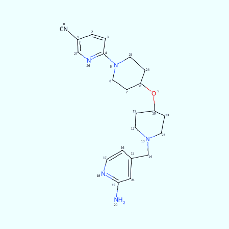 [C-]#[N+]c1ccc(N2CCC(OC3CCN(Cc4ccnc(N)c4)CC3)CC2)nc1